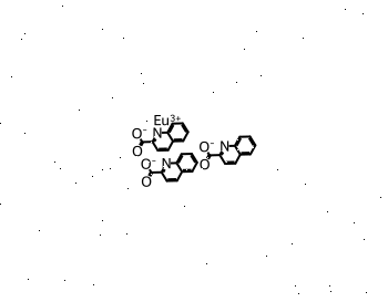 O=C([O-])c1ccc2ccccc2n1.O=C([O-])c1ccc2ccccc2n1.O=C([O-])c1ccc2ccccc2n1.[Eu+3]